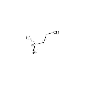 CCC[C@@H](S)CCO